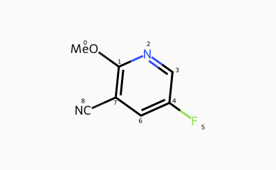 COc1ncc(F)cc1C#N